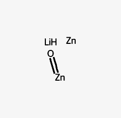 [LiH].[O]=[Zn].[Zn]